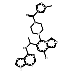 CC(Nc1ncnc2[nH]cnc12)c1cc(Cl)c2cncn2c1N1CCN(C(=O)c2cnn(C)c2)CC1